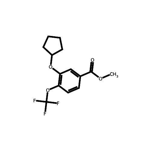 COC(=O)c1ccc(OC(F)(F)F)c(OC2CCCC2)c1